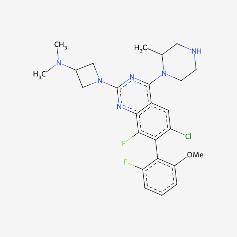 COc1cccc(F)c1-c1c(Cl)cc2c(N3CCNCC3C)nc(N3CC(N(C)C)C3)nc2c1F